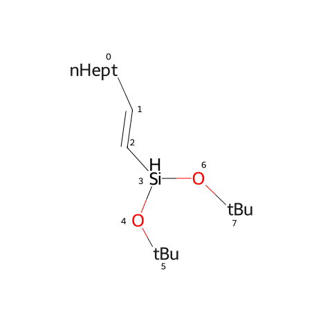 CCCCCCCC=C[SiH](OC(C)(C)C)OC(C)(C)C